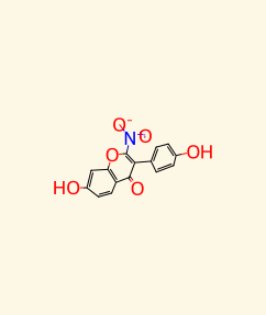 O=c1c(-c2ccc(O)cc2)c([N+](=O)[O-])oc2cc(O)ccc12